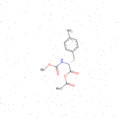 CC(C)COC(=O)OC(=O)[C@@H](Cc1ccc([N+](=O)[O-])cc1)NC(=O)OC(C)(C)C